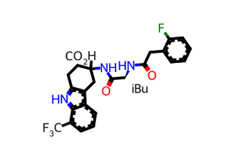 CC[C@H](C)[C@H](NC(=O)Cc1ccccc1F)C(=O)NC1(C(=O)O)CCc2[nH]c3c(C(F)(F)F)cccc3c2C1